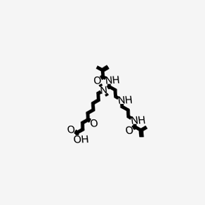 C=C(C)C(=O)NCCCNCCC(NC(=O)C(=C)C)[N+](C)(C)CCCCCC(=O)CCC(=O)O